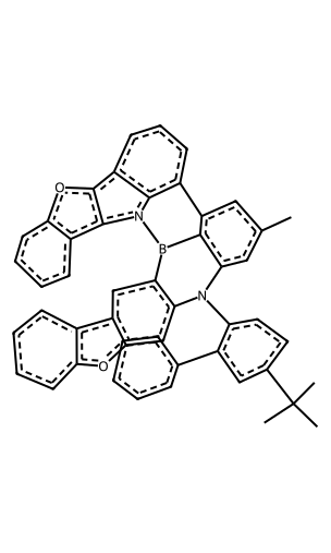 Cc1cc2c3c(c1)N(c1ccc(C(C)(C)C)cc1-c1ccccc1)c1cc4oc5ccccc5c4cc1B3n1c3c-2cccc3c2oc3ccccc3c21